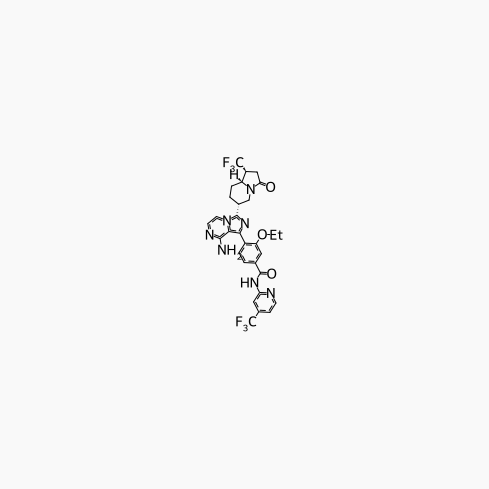 CCOc1cc(C(=O)Nc2cc(C(F)(F)F)ccn2)ccc1-c1nc([C@@H]2CC[C@@H]3[C@@H](C(F)(F)F)CC(=O)N3C2)n2ccnc(N)c12